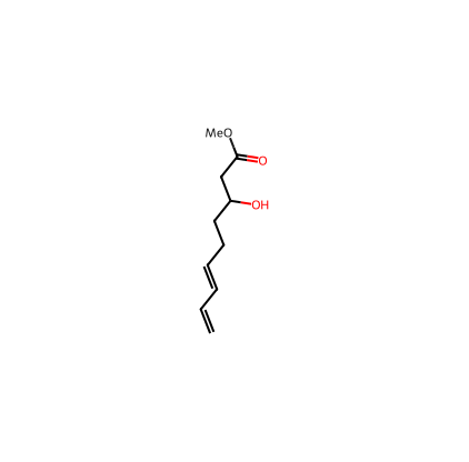 C=CC=CCCC(O)CC(=O)OC